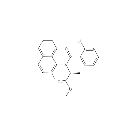 COC(=O)[C@H](C)N(C(=O)c1cccnc1Cl)c1c(C)ccc2ccccc12